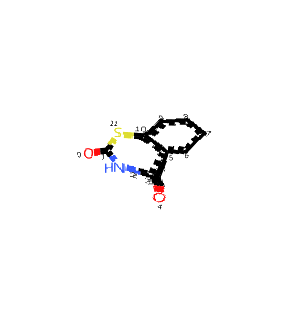 O=c1[nH]c(=O)c2ccccc2s1